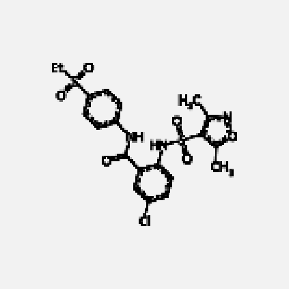 CCS(=O)(=O)c1ccc(NC(=O)c2cc(Cl)ccc2NS(=O)(=O)c2c(C)noc2C)cc1